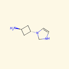 N[C@H]1C[C@H](N2C=CNC2)C1